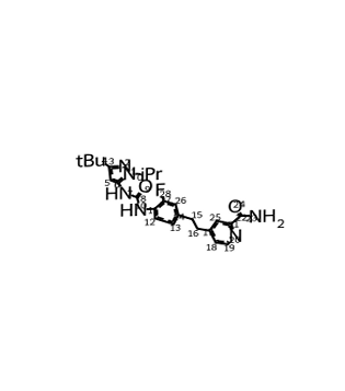 CC(C)n1nc(C(C)(C)C)cc1NC(=O)Nc1ccc(CCc2ccnc(C(N)=O)c2)cc1F